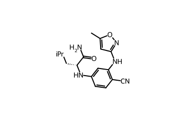 Cc1cc(Nc2cc(N[C@H](CC(C)C)C(N)=O)ccc2C#N)no1